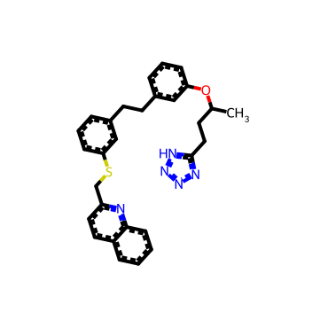 CC(CCc1nnn[nH]1)Oc1cccc(CCc2cccc(SCc3ccc4ccccc4n3)c2)c1